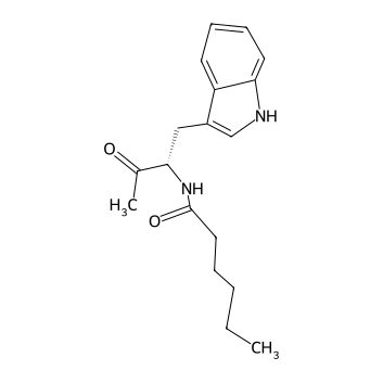 CCCCCC(=O)N[C@@H](Cc1c[nH]c2ccccc12)C(C)=O